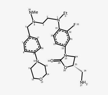 CCN(CCN(Cc1ccc(N2CCOCC2)cc1)NC)c1ccc(N2C[C@H](CN)OC2=O)cc1F